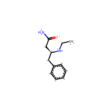 CCN[C@H](CC(N)=O)Cc1ccccc1